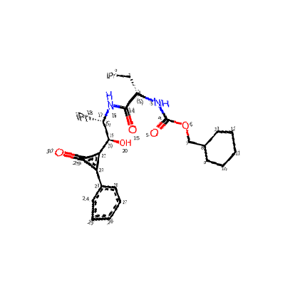 CC(C)C[C@H](NC(=O)OCC1CCCCC1)C(=O)N[C@@H](C(C)C)[C@@H](O)c1c(-c2ccccc2)c1=O